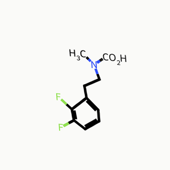 CN(CCc1cccc(F)c1F)C(=O)O